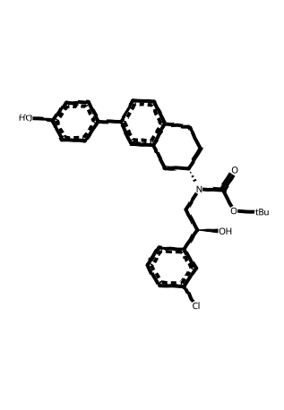 CC(C)(C)OC(=O)N(C[C@@H](O)c1cccc(Cl)c1)[C@H]1CCc2ccc(-c3ccc(O)cc3)cc2C1